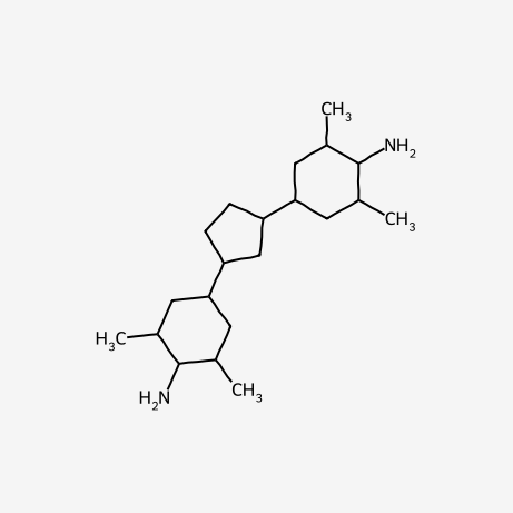 CC1CC(C2CCC(C3CC(C)C(N)C(C)C3)C2)CC(C)C1N